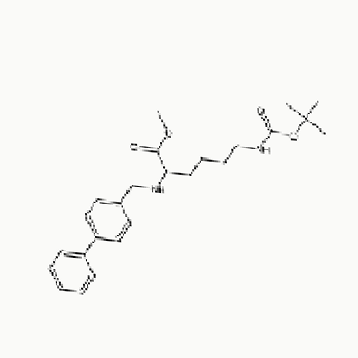 COC(=O)C(CCCCNC(=O)OC(C)(C)C)NCc1ccc(-c2ccccc2)cc1